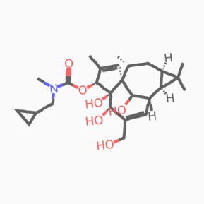 CC1=C[C@]23C(O)[C@@H](C=C(CO)[C@@H](O)[C@]2(O)[C@H]1OC(=O)N(C)CC1CC1)[C@H]1[C@@H](C[C@H]3C)C1(C)C